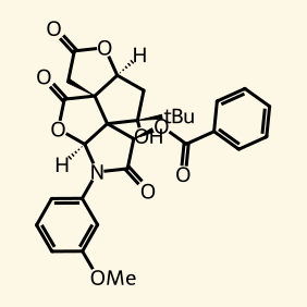 COc1cccc(N2C(=O)[C@H](OC(=O)c3ccccc3)C34[C@@H]2OC(=O)[C@@]32CC(=O)O[C@H]2C[C@@]4(O)C(C)(C)C)c1